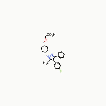 Cc1c(-c2ccc(F)cc2)c(-c2ccccc2)nn1C[C@H]1CC[C@@H](COCC(=O)O)CC1